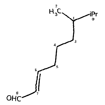 CC(C)C(C)CCCC=CC=O